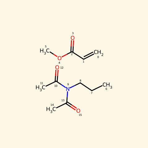 C=CC(=O)OC.CCCN(C(C)=O)C(C)=O